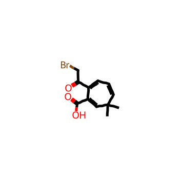 CC1(C)C=CC=C(C(=O)CBr)C(C(=O)O)=C1